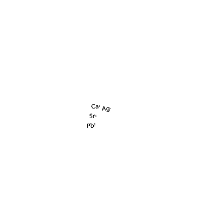 [Ag].[Ca].[Pb].[Sr]